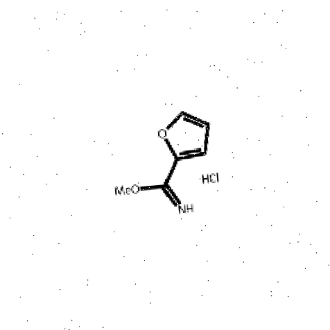 COC(=N)c1ccco1.Cl